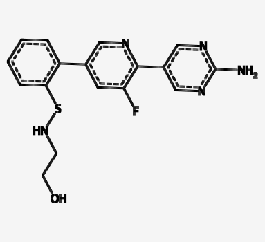 Nc1ncc(-c2ncc(-c3ccccc3SNCCO)cc2F)cn1